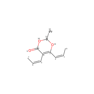 C/C=C\C1=C(/C=C\C)C(=O)OB(C(C)C)O1